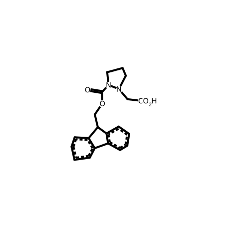 O=C(O)CN1CCCN1C(=O)OCC1c2ccccc2-c2ccccc21